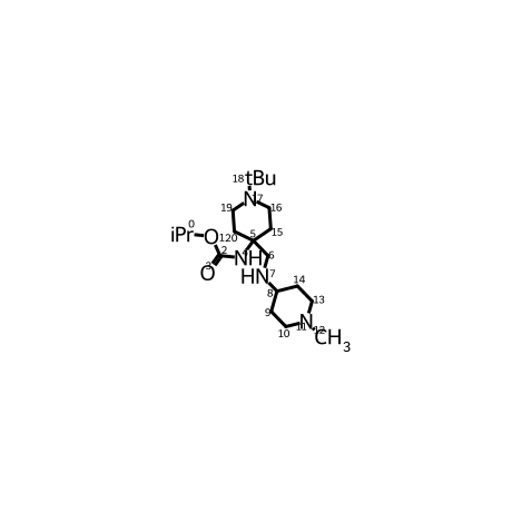 CC(C)OC(=O)NC1(CNC2CCN(C)CC2)CCN(C(C)(C)C)CC1